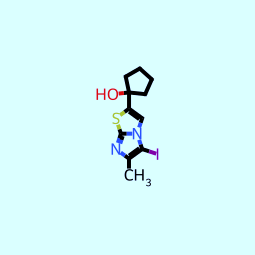 Cc1nc2sc(C3(O)CCCC3)cn2c1I